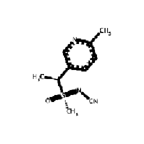 Cc1ccc([C@H](C)[S@](C)(=O)=NC#N)cn1